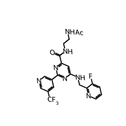 CC(=O)NCCNC(=O)c1cc(NCc2ncccc2F)nc(-c2cncc(C(F)(F)F)c2)n1